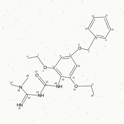 CCOc1cc(OCc2ccccc2)cc(OCC)c1NC(=O)NC(=N)N(C)C